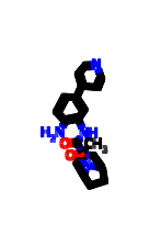 CC(=O)N1C2CCC1CN(C(=O)Nc1cc(-c3ccncc3)ccc1N)C2